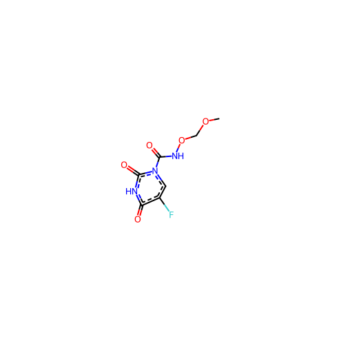 COCONC(=O)n1cc(F)c(=O)[nH]c1=O